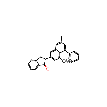 COc1cc(C2Cc3ccccc3C2=O)cc2cc(C)cc(-c3ccccc3)c12